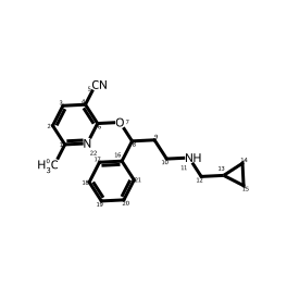 Cc1ccc(C#N)c(OC(CCNCC2CC2)c2ccccc2)n1